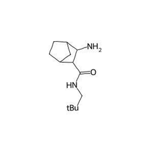 CC(C)(C)CNC(=O)C1C2CCC(C2)C1N